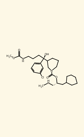 CNC[C@@H](CC1CCCCC1)OC(=O)N1CCCC([C@@](O)(CCCNC(=O)OC)c2cccc(Cl)c2)C1